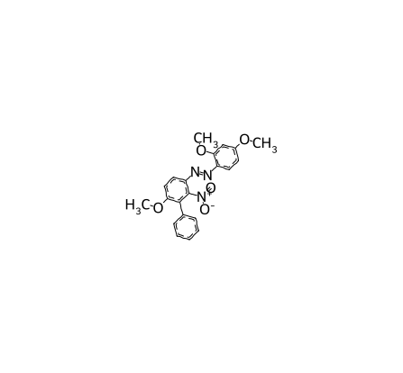 COc1ccc(N=Nc2ccc(OC)c(-c3ccccc3)c2[N+](=O)[O-])c(OC)c1